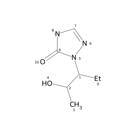 CCC(C(C)O)N1N=C[N]C1=O